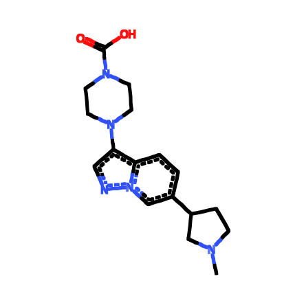 CN1CCC(c2ccc3c(N4CCN(C(=O)O)CC4)cnn3c2)C1